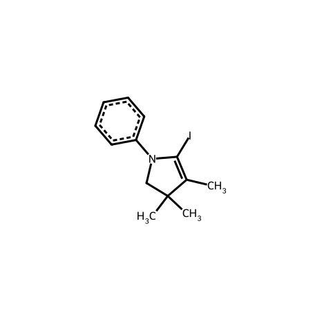 CC1=C(I)N(c2ccccc2)CC1(C)C